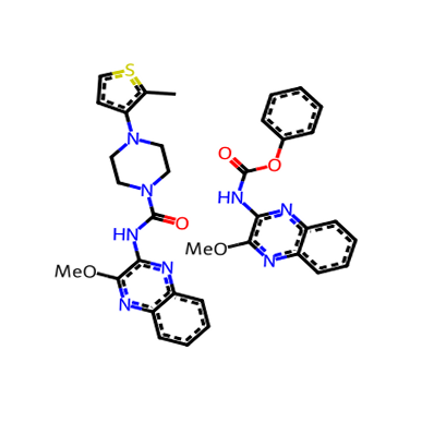 COc1nc2ccccc2nc1NC(=O)N1CCN(c2ccsc2C)CC1.COc1nc2ccccc2nc1NC(=O)Oc1ccccc1